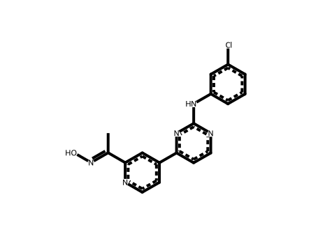 CC(=NO)c1cc(-c2ccnc(Nc3cccc(Cl)c3)n2)ccn1